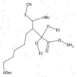 CCCCCCCCCCCCCCCC(C(CCCC)SC#N)C(OCC)(OCC)C(=O)O[SiH3]